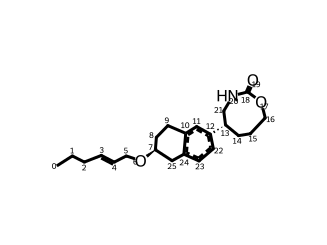 CCC/C=C/CO[C@H]1CCc2cc([C@H]3CCCOC(=O)NC3)ccc2C1